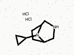 C1CC1N1C2CCC1CNC2.Cl.Cl